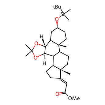 COC(=O)/C=C1\CCC2C3C(CC[C@]12C)[C@@]1(C)CC[C@H](O[Si](C)(C)C(C)(C)C)CC1[C@H]1OC(C)(C)O[C@H]31